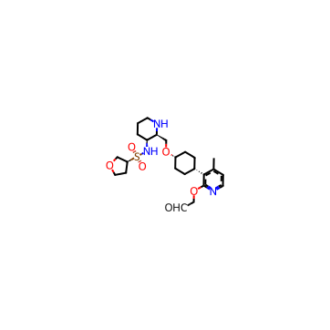 Cc1ccnc(OCC=O)c1[C@H]1CC[C@@H](OC[C@@H]2NCCC[C@@H]2NS(=O)(=O)[C@H]2CCOC2)CC1